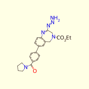 CCOC(=O)N1CC(N=NN)=Nc2ccc(-c3ccc(C(=O)N4CCCC4)cc3)cc2C1